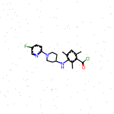 Cc1cc(C)c(C(=O)Cl)c(C)c1NC1CCN(c2ccc(F)cn2)CC1